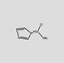 CCC[CH2][SnH]([Cl])[n]1ccnc1